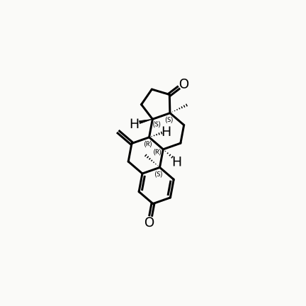 C=C1CC2=CC(=O)C=C[C@]2(C)[C@@H]2CC[C@]3(C)C(=O)CC[C@H]3[C@H]12